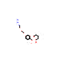 COC(=O)[C@H]1O[C@@H](Oc2cc(OCCOCCN=[N+]=[N-])ccc2CO)[C@H](OC(C)=O)[C@@H](OC(C)=O)[C@@H]1OC(C)=O